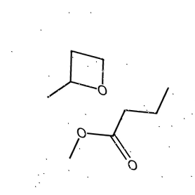 CC1CCO1.CCCC(=O)OC